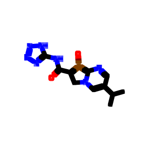 CC(C)C1=CN2CC(C(=O)Nc3nnn[nH]3)=S(=O)=C2N=C1